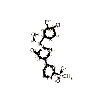 CS(=O)(=O)c1nccc(-c2cnn([C@H](CO)c3ccc(Cl)c(F)c3)c(=O)c2)n1